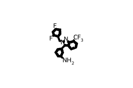 Nc1cccc(-c2c3cccc(C(F)(F)F)c3nn2Cc2ccc(F)cc2F)c1